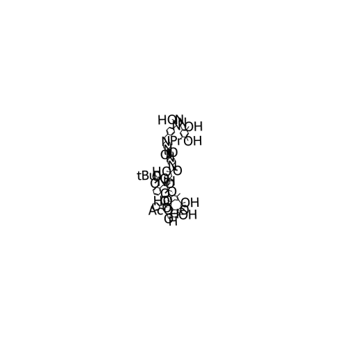 CC(=O)O[C@@]12CO[C@@H]1C[C@H](O)[C@@]1(C)C(=O)[C@H](O)C3=C(C)[C@@H](OC(=O)[C@H](OC(=O)C[C@@H](O)C(=O)N4CCN(S(=O)(=O)N5CCN(Cc6ccc(-n7c(O)nnc7-c7cc(C(C)C)c(O)cc7O)cc6)CC5)CC4)[C@@H](NC(=O)OC(C)(C)C)c4ccccc4)C[C@](O)(C3)[C@@H](OC(=O)c3ccccc3)[C@H]21